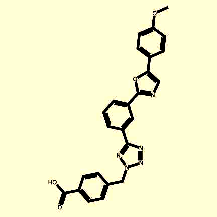 COc1ccc(-c2cnc(-c3cccc(-c4nnn(Cc5ccc(C(=O)O)cc5)n4)c3)o2)cc1